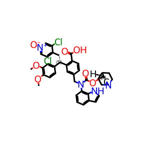 COc1ccc([C@H](Cc2c(Cl)c[n+]([O-])cc2Cl)c2cc(CN(C(=O)O[C@H]3CN4CCC3CC4)c3cccc4cc[nH]c34)ccc2C(=O)O)cc1OC